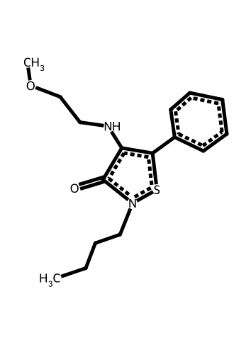 CCCCn1sc(-c2ccccc2)c(NCCOC)c1=O